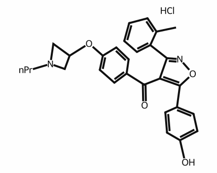 CCCN1CC(Oc2ccc(C(=O)c3c(-c4ccccc4C)noc3-c3ccc(O)cc3)cc2)C1.Cl